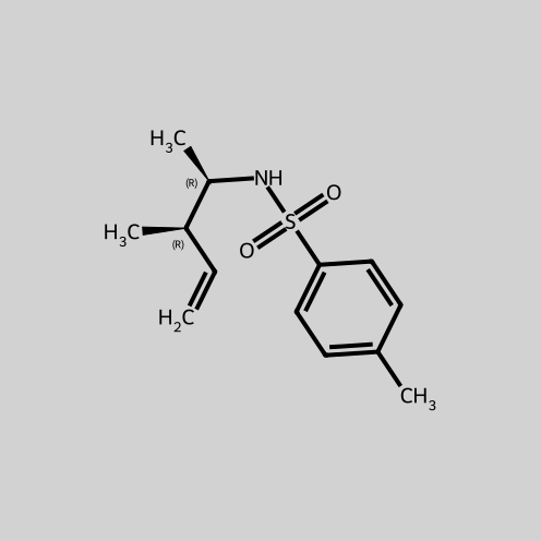 C=C[C@@H](C)[C@@H](C)NS(=O)(=O)c1ccc(C)cc1